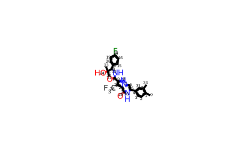 Cc1ccc(-c2cn3nc(C(=O)N[C@@H](c4ccc(F)cc4)C(C)(C)O)c(C(F)(F)F)c3c(=O)[nH]2)cc1C